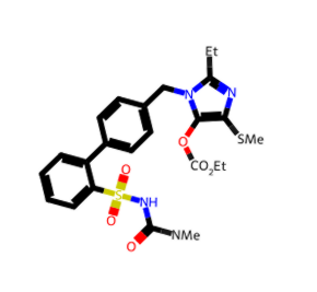 CCOC(=O)Oc1c(SC)nc(CC)n1Cc1ccc(-c2ccccc2S(=O)(=O)NC(=O)NC)cc1